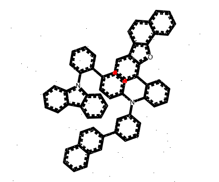 c1cc(-c2ccc3ccccc3c2)cc(N(c2ccc(-c3ccccc3-n3c4ccccc4c4ccccc43)cc2)c2ccccc2-c2cccc3c2oc2c4ccccc4ccc32)c1